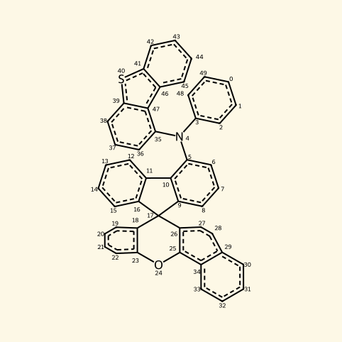 c1ccc(N(c2cccc3c2-c2ccccc2C32c3ccccc3Oc3c2ccc2ccccc32)c2cccc3sc4ccccc4c23)cc1